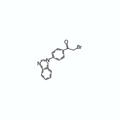 O=C(CBr)c1ccc(-n2cnc3ccccc32)cc1